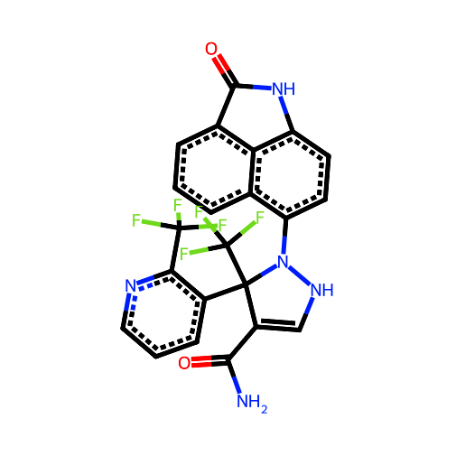 NC(=O)C1=CNN(c2ccc3c4c(cccc24)C(=O)N3)C1(c1cccnc1C(F)(F)F)C(F)(F)F